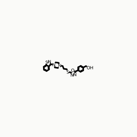 OCc1ccc(-c2nnc(SCCCN3CCN(c4nsc5ccccc45)CC3)o2)cc1